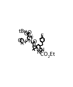 CCOC(=O)c1nc2c(Cc3ccc(F)cc3)cc3c(n2n1)C(C)(C)CN3C(=O)CN1C[C@@H](C)N(C(=O)OC(C)(C)C)C[C@@H]1CN1CCOC[C@H]1C